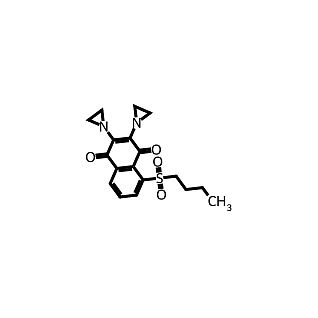 CCCCS(=O)(=O)c1cccc2c1C(=O)C(N1CC1)=C(N1CC1)C2=O